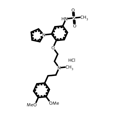 COc1ccc(CCN(C)CCOc2ccc(NS(C)(=O)=O)cc2-n2cccc2)cc1OC.Cl